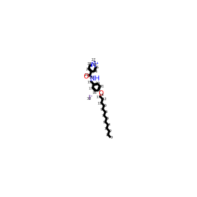 CCCCCCCCCCCCCCOc1ccc(CNC(=O)c2cc[n+](C)cc2)cc1.[I-]